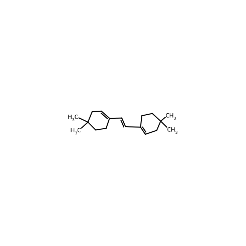 CC1(C)CC=C(C=CC2=CCC(C)(C)CC2)CC1